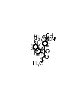 C/C=C/C(=O)n1c(=O)n(-c2ccc(C(C)(C)C#N)cc2)c2c3cc(C)ccc3ncc21